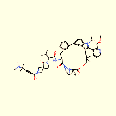 CCn1c(-c2cccnc2[C@H](C)OC)c2c3cc(ccc31)-c1cccc(c1)C[C@H](NC(=O)[C@H](C(C)C)N1CCC3(CN(C(=O)C#CC(C)(C)N(C)C)C3)C1=O)C(=O)N1CCC[C@H](N1)C(=O)OCC(C)(C)C2